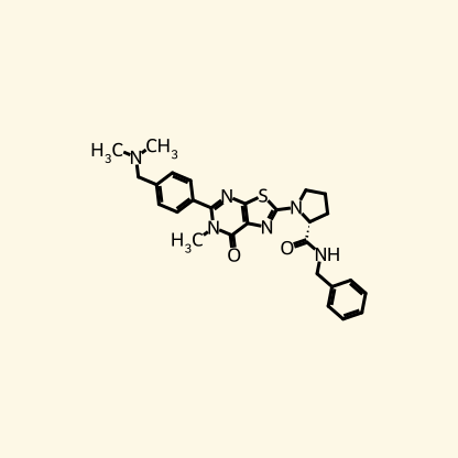 CN(C)Cc1ccc(-c2nc3sc(N4CCC[C@@H]4C(=O)NCc4ccccc4)nc3c(=O)n2C)cc1